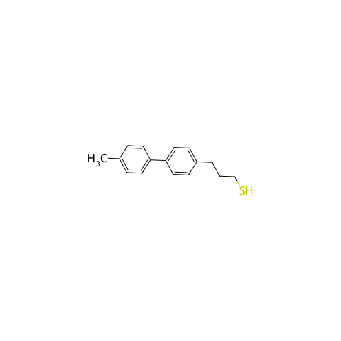 Cc1ccc(-c2ccc(CCCS)cc2)cc1